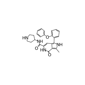 Cc1[nH]c(-c2ccccc2Oc2ccccc2)c2cc(C(=O)NC3CCNCC3)[nH]c(=O)c12